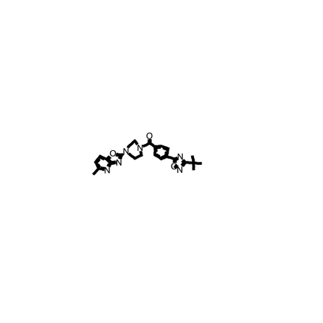 Cc1ccc2oc(N3CCN(C(=O)c4ccc(-c5nc(C(C)(C)C)no5)cc4)CC3)nc2n1